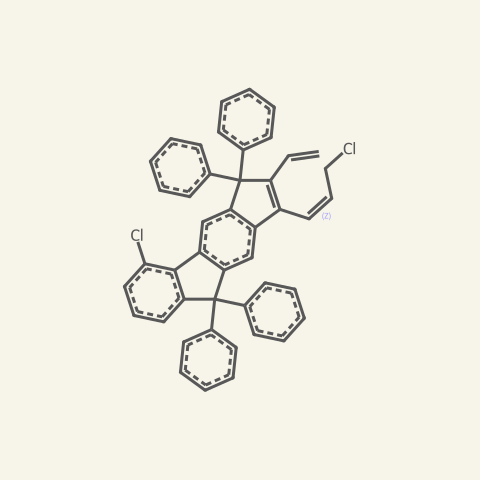 C=CC1=C(/C=C\CCl)c2cc3c(cc2C1(c1ccccc1)c1ccccc1)-c1c(Cl)cccc1C3(c1ccccc1)c1ccccc1